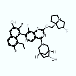 CCc1c(F)ccc2cc(O)c(F)c(-c3ncc4c(N5C[C@@H]6C[C@H](C5)[C@H](O)C6)nc(OC[C@@]56CCCN5C[C@H](F)C6)nc4c3F)c12